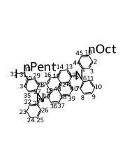 CCCCCCCCc1ccc(N(c2ccccc2)c2ccc3ccc4c(N(C5=CCCC=C5)c5ccc(C(I)CCCCC)cc5)ccc5ccc2c3c54)cc1